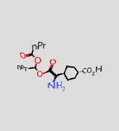 CCCC(=O)OC(CCC)OC(=O)C(N)[C@H]1CC[C@H](C(=O)O)CC1